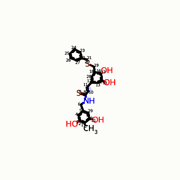 Cc1c(O)cc(CNC(=S)/C=C/c2cc(O)c(O)c(CSCc3ccccc3)c2)cc1O